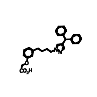 O=C(O)COc1cccc(CCCCn2cc(C(c3ccccc3)c3ccccc3)cn2)c1